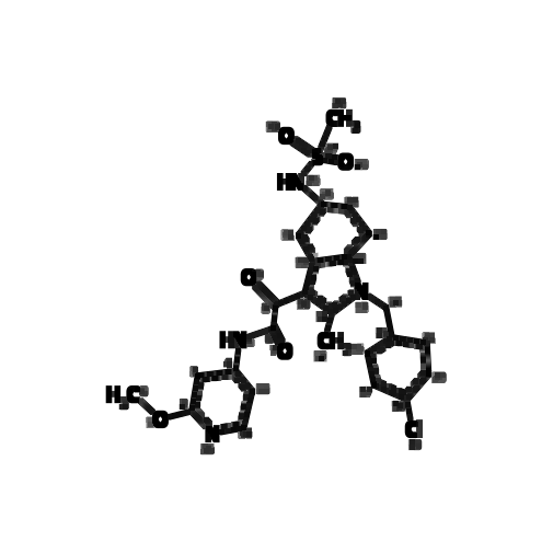 COc1cc(NC(=O)C(=O)c2c(C)n(Cc3ccc(Cl)cc3)c3ccc(NS(C)(=O)=O)cc23)ccn1